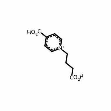 O=C(O)CCC[n+]1ccc(C(=O)O)cc1